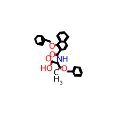 C[C@@H](OCc1ccccc1)C(NC(=O)c1ccc2ccccc2c1OCC1CC2CCC1C2)C(=O)O